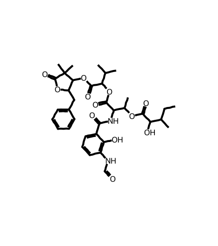 CCC(C)C(O)C(=O)OC(C)C(NC(=O)c1cccc(NC=O)c1O)C(=O)OC(C(=O)OC1C(Cc2ccccc2)OC(=O)C1(C)C)C(C)C